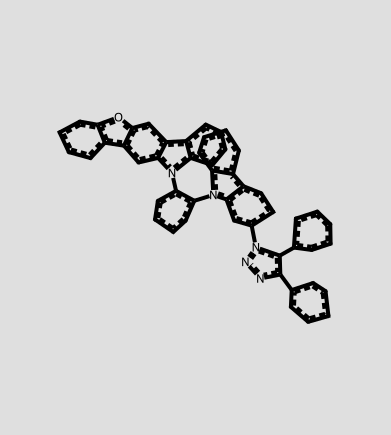 c1ccc(-c2nnn(-c3ccc4c5ccccc5n(-c5ccccc5-n5c6ccccc6c6cc7oc8ccccc8c7cc65)c4c3)c2-c2ccccc2)cc1